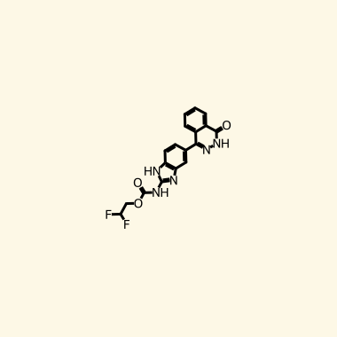 O=C(Nc1nc2cc(-c3n[nH]c(=O)c4ccccc34)ccc2[nH]1)OCC(F)F